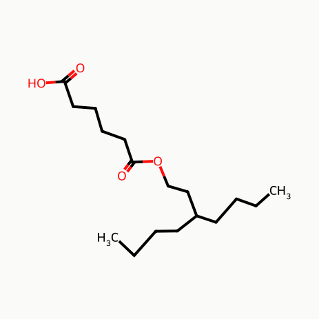 CCCCC(CCCC)CCOC(=O)CCCCC(=O)O